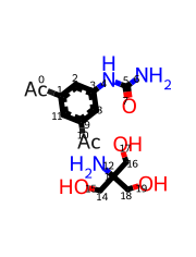 CC(=O)c1cc(NC(N)=O)cc(C(C)=O)c1.NC(CO)(CO)CO